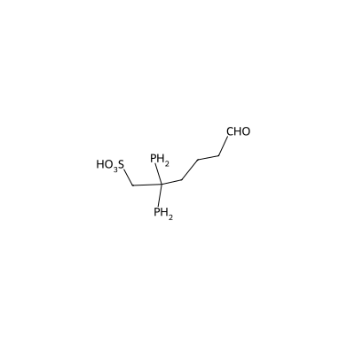 O=CCCCC(P)(P)CS(=O)(=O)O